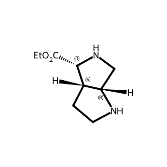 CCOC(=O)[C@@H]1NC[C@@H]2NCC[C@@H]21